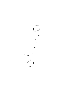 O=C(CN=CC(=O)c1ccccc1)OCC(=O)c1ccccc1